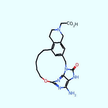 Nc1nc2nc3c1[nH]c(=O)n3Cc1cc(c3c(c1)CN(CC(=O)O)CC3)CCCCCO2